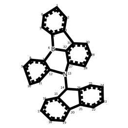 c1ccc2c(c1)B1c3ccccc3N(C3c4ccccc4-c4ccccc43)c3cccc-2c31